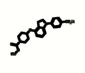 CCOC(=O)c1ccc(N2CCc3c(OC4CCN(C(=O)OC(C)(C)C)CC4)cccc32)cc1